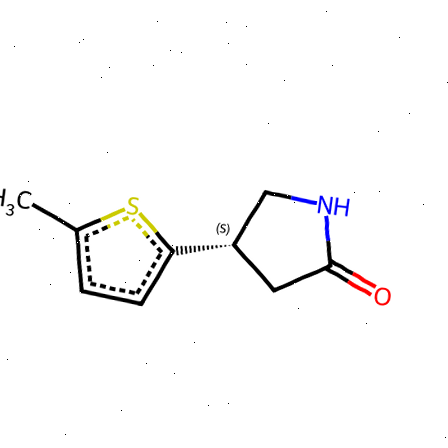 Cc1ccc([C@@H]2CNC(=O)C2)s1